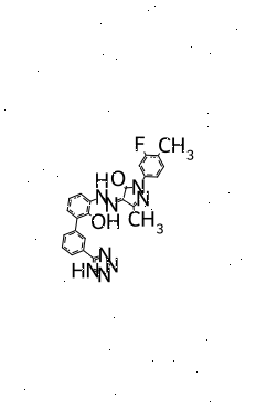 CC1=NN(c2ccc(C)c(F)c2)C(=O)C1=NNc1cccc(-c2cccc(-c3nnn[nH]3)c2)c1O